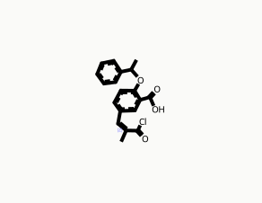 C/C(=C/c1ccc(OC(C)c2ccccc2)c(C(=O)O)c1)C(=O)Cl